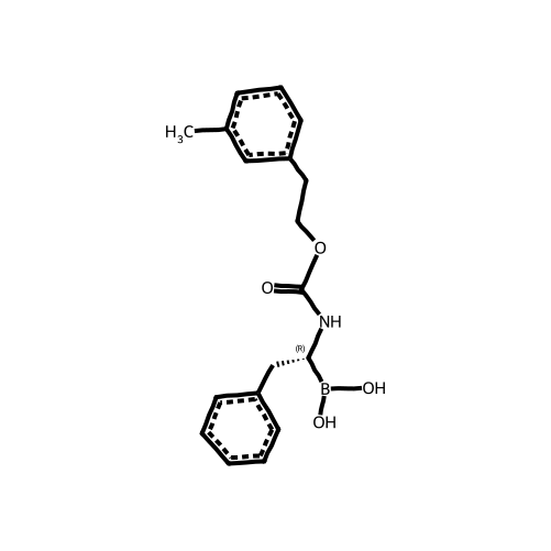 Cc1cccc(CCOC(=O)N[C@@H](Cc2ccccc2)B(O)O)c1